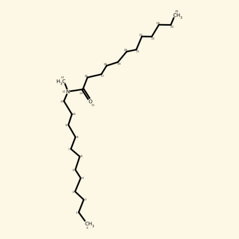 CCCCCCCCCCCCN(C)C(=O)CCCCCCCCCCC